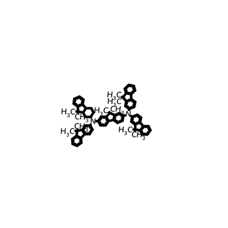 CC1(C)c2ccccc2-c2ccc(N(c3ccc4c(c3)C(C)(C)c3ccccc3-4)c3ccc4c(c3)C(C)(C)c3cc(N(c5ccc6c(c5)C(C)(C)c5ccccc5-6)C5CCC6c7ccccc7C(C)(C)C6C5)ccc3-4)cc21